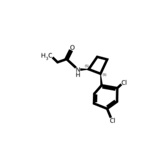 CCC(=O)N[C@H]1CC[C@H]1c1ccc(Cl)cc1Cl